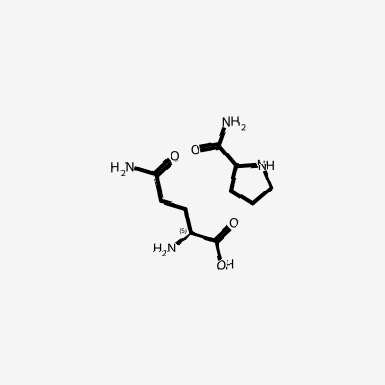 NC(=O)C1CCCN1.NC(=O)CC[C@H](N)C(=O)O